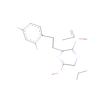 C=CC[C@@]1(CCc2ccc(Br)cc2Cl)N=C(OC)[C@@H](C(C)C)N=C1OC